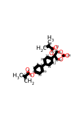 C=C(C)C(=O)Oc1ccc(-c2ccc(C3(OC(=O)C(=C)C)COC(=O)OC3)cc2)cc1